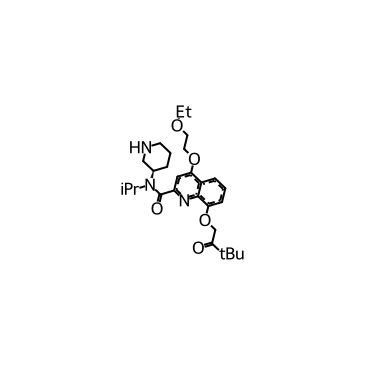 CCOCCOc1cc(C(=O)N(C(C)C)[C@@H]2CCCNC2)nc2c(OCC(=O)C(C)(C)C)cccc12